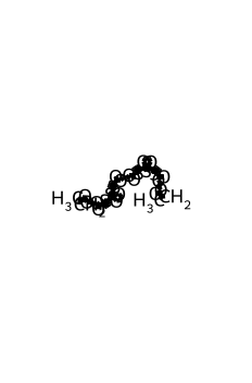 C=C(C)C(=O)OCCOC(=O)c1ccc(-c2sc(-c3ccc(C(=O)OCCOC(=O)c4ccc(-c5sc(-c6ccc(C(=O)OCCOC(=O)C(=C)C)s6)c6c5OCCO6)s4)s3)c3c2OCCO3)s1